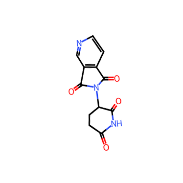 O=C1CCC(N2C(=O)c3ccncc3C2=O)C(=O)N1